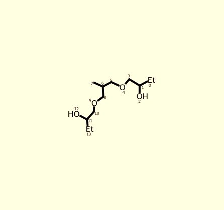 CCC(O)COCC(C)COCC(O)CC